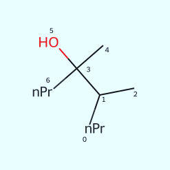 CCCC(C)C(C)(O)CCC